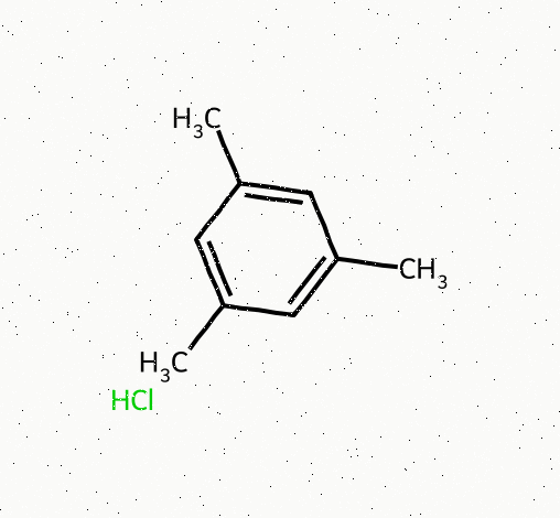 Cc1cc(C)cc(C)c1.Cl